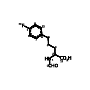 O=CNC(CCCc1ccc(F)cc1)C(=O)O